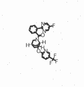 O=C(c1ccccc1-c1ncc(F)cn1)N1C[C@@H]2CC[C@H]1[C@H](Oc1ccc(C(F)(F)F)cn1)C2